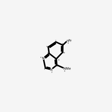 [CH]Nc1ncnc2ccc(CCC)cc12